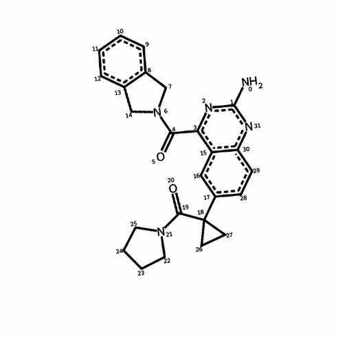 Nc1nc(C(=O)N2Cc3ccccc3C2)c2cc(C3(C(=O)N4CCCC4)CC3)ccc2n1